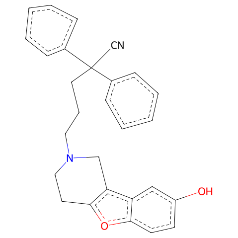 N#CC(CCCN1CCc2oc3ccc(O)cc3c2C1)(c1ccccc1)c1ccccc1